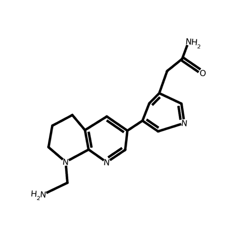 NCN1CCCc2cc(-c3cncc(CC(N)=O)c3)cnc21